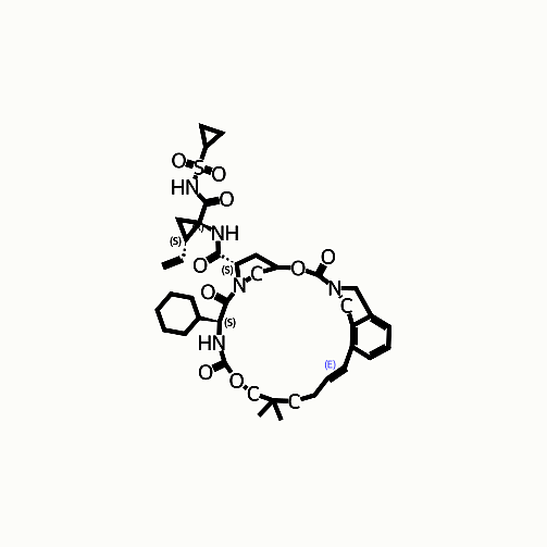 C=C[C@@H]1C[C@]1(NC(=O)[C@@H]1CC2CN1C(=O)[C@H](C1CCCCC1)NC(=O)OCC(C)(C)CC/C=C/c1cccc3c1CN(C3)C(=O)O2)C(=O)NS(=O)(=O)C1CC1